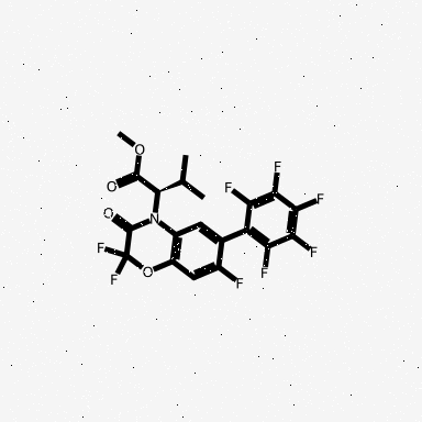 COC(=O)[C@@H](C(C)C)N1C(=O)C(F)(F)Oc2cc(F)c(-c3c(F)c(F)c(F)c(F)c3F)cc21